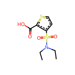 CCN(CC)S(=O)(=O)c1ccsc1C(=O)O